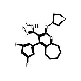 Fc1cc(F)cc(-c2c3c(nc(O[C@H]4CCOC4)c2-c2nnn[nH]2)CCCCC3)c1